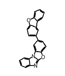 c1ccc2c(c1)nc1oc3ccc(-c4ccc5oc6ccccc6c5c4)cc3n12